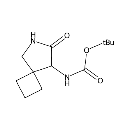 CC(C)(C)OC(=O)NC1C(=O)NCC12CCC2